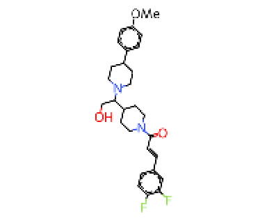 COc1ccc(C2CCN(C(CO)C3CCN(C(=O)C=Cc4ccc(F)c(F)c4)CC3)CC2)cc1